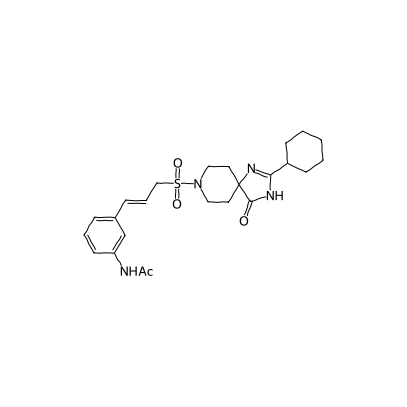 CC(=O)Nc1cccc(/C=C/CS(=O)(=O)N2CCC3(CC2)N=C(C2CCCCC2)NC3=O)c1